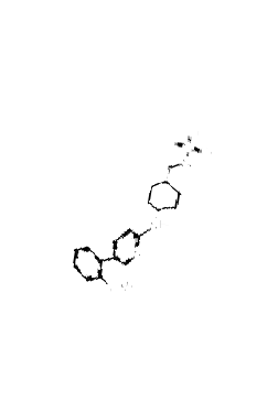 CCS(=O)(=O)NC[C@H]1CC[C@H](Nc2ccc(-c3ccccc3OC)cn2)CC1